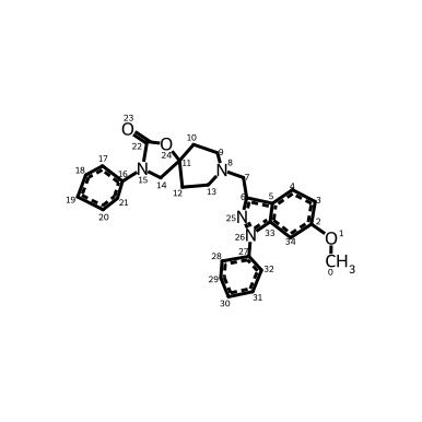 COc1ccc2c(CN3CCC4(CC3)CN(c3ccccc3)C(=O)O4)nn(-c3ccccc3)c2c1